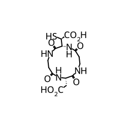 O=C(O)C[C@@H]1NC(=O)CCNC(=O)[C@H]([C@@H](S)C(=O)O)NC(=O)CCNC1=O